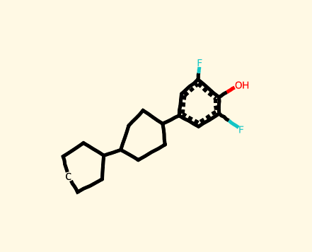 Oc1c(F)cc(C2CCC(C3CCCCC3)CC2)cc1F